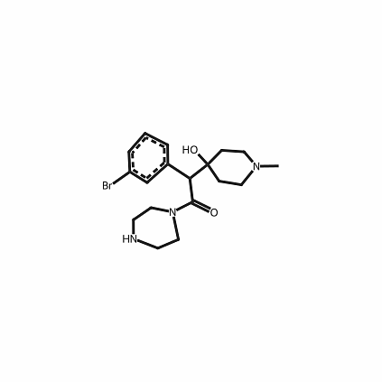 CN1CCC(O)(C(C(=O)N2CCNCC2)c2cccc(Br)c2)CC1